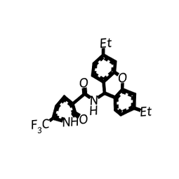 CCc1ccc2c(c1)Oc1cc(CC)ccc1C2NC(=O)c1ccc(C(F)(F)F)[nH]c1=O